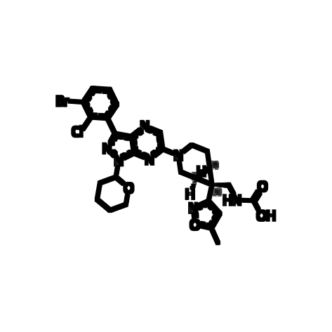 Cc1cc([C@@]2(CNC(=O)O)[C@@H]3CCN(c4cnc5c(-c6cccc(Br)c6Cl)nn(C6CCCCO6)c5n4)C[C@@H]32)no1